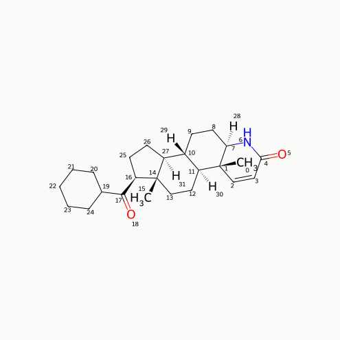 C[C@]12C=CC(=O)N[C@@H]1CC[C@@H]1[C@@H]2CC[C@]2(C)[C@@H](C(=O)C3CCCCC3)CC[C@@H]12